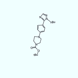 CCCCn1ncnc1-c1ccc(N2CCN(C(=O)OC(C)(C)C)CC2)cc1